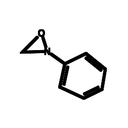 c1ccc(N2CO2)cc1